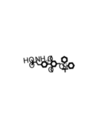 COc1cc(CO[Si](c2ccccc2)(c2ccccc2)C(C)(C)C)cc(OC)c1-c1ccc(C[C@H](N)C(=O)O)cc1